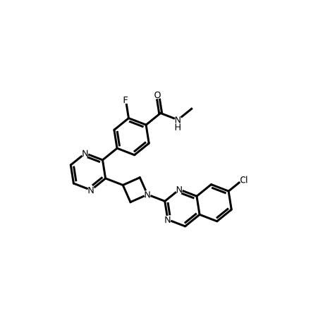 CNC(=O)c1ccc(-c2nccnc2C2CN(c3ncc4ccc(Cl)cc4n3)C2)cc1F